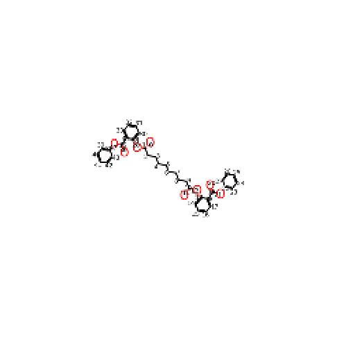 O=C(CCCCCCCCC(=O)Oc1ccccc1C(=O)Oc1ccccc1)Oc1ccccc1C(=O)Oc1ccccc1